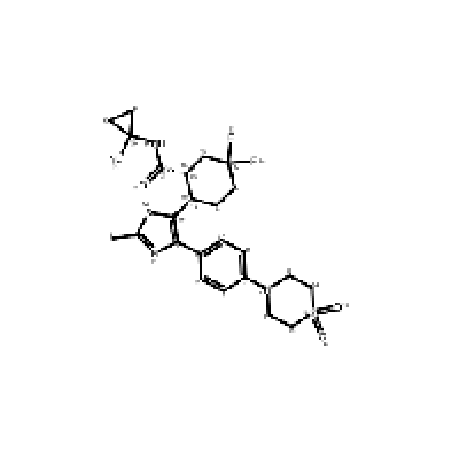 Cc1nc(-c2ccc(N3CCS(=O)(=O)CC3)cc2)c([C@@H]2CCC(F)(F)C[C@H]2C(=O)NC2(C#N)CC2)s1